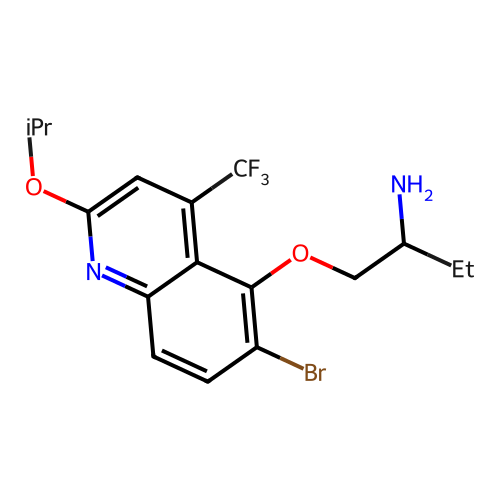 CCC(N)COc1c(Br)ccc2nc(OC(C)C)cc(C(F)(F)F)c12